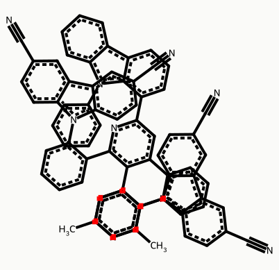 Cc1ccc(-c2ccccc2-c2cc(-c3cccc4c5ccccc5n(-c5ccccc5)c34)nc(-c3ccccc3-n3c4ccc(C#N)cc4c4cc(C#N)ccc43)c2-c2ccccc2-n2c3ccc(C#N)cc3c3cc(C#N)ccc32)c(C)n1